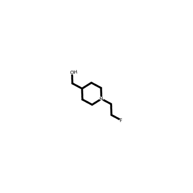 OCC1CCN(CCF)CC1